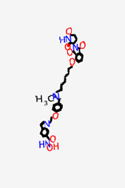 CN(CCCCCCCCOc1cccc2c1C(=O)N(C1CCC(=O)NC1=O)C2=O)Cc1ccc(OCCn2ccc3ccc(C(=O)NO)cc32)cc1